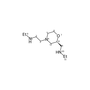 CCNCCN1CCO[C@@H](CNCC)C1